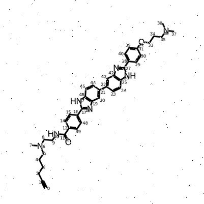 C#CCCCCN(C)CCNC(=O)c1ccc(-c2nc3cc(-c4ccc5[nH]c(-c6ccc(OCCCN(C)C)cc6)nc5c4)ccc3[nH]2)cc1